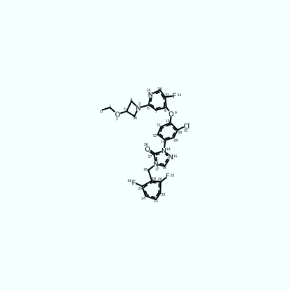 CCOC1CN(c2cc(Oc3ccc(-n4ncn(Cc5c(F)cccc5F)c4=O)cc3Cl)c(F)cn2)C1